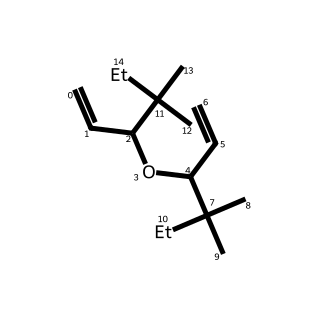 C=CC(OC(C=C)C(C)(C)CC)C(C)(C)CC